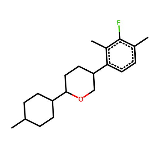 Cc1ccc(C2CCC(C3CCC(C)CC3)OC2)c(C)c1F